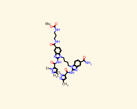 CCn1nc(C)cc1C(=O)Nc1nc2cc(C(N)=O)ccc2n1CCCCn1c(NC(=O)c2cc(C)nn2CC)nc2cc(C(=O)NCCCNC(=O)OC(C)(C)C)ccc21